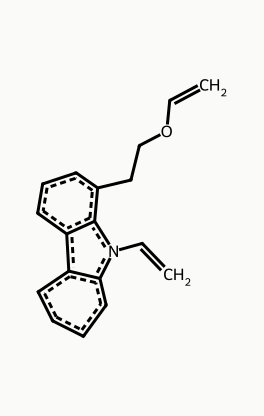 C=COCCc1cccc2c3ccccc3n(C=C)c12